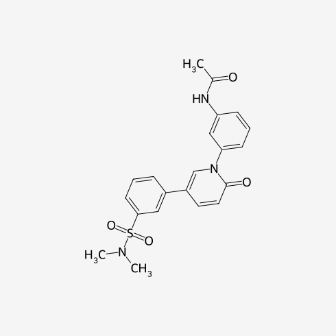 CC(=O)Nc1cccc(-n2cc(-c3cccc(S(=O)(=O)N(C)C)c3)ccc2=O)c1